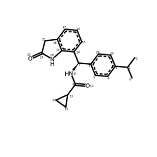 CC(C)c1ccc([C@@H](NC(=O)C2CC2)c2cccc3c2NC(=O)C3)cc1